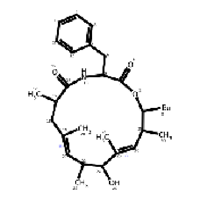 CCC(C)C1OC(=O)C(Cc2ccccc2)NC(=O)C(C)C/C(C)=C/C(C)C(O)/C(C)=C/C1C